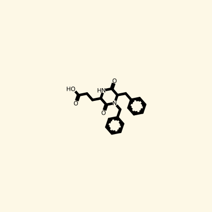 O=C(O)CCC1NC(=O)C(Cc2ccccc2)N(Cc2ccccc2)C1=O